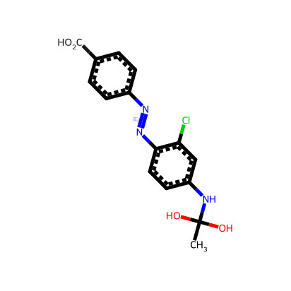 CC(O)(O)Nc1ccc(/N=N/c2ccc(C(=O)O)cc2)c(Cl)c1